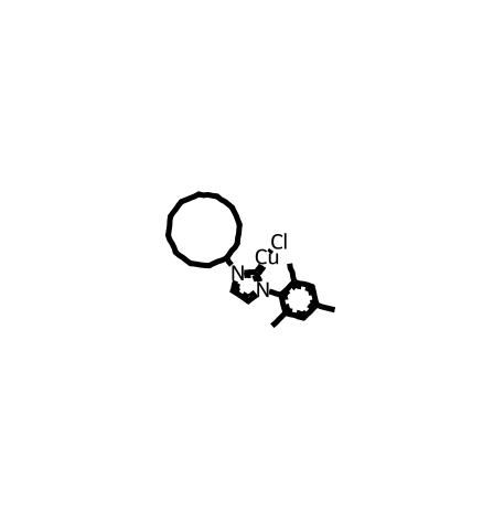 Cc1cc(C)c(-n2ccn(C3CCCCCCCCCCC3)[c]2=[Cu][Cl])c(C)c1